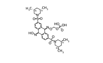 C[C@@H]1C[C@H](C)CN(S(=O)(=O)c2ccc3c(c2)C(=NOCOP(=O)(O)O)c2cc(S(=O)(=O)N4C[C@H](C)C[C@H](C)C4)ccc2C3=NO)C1